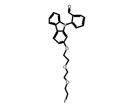 O=Cc1ccccc1-n1c2ccccc2c2ccc(OCCOCCOCCF)cc21